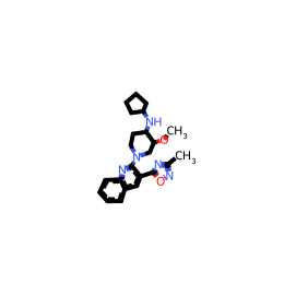 COC1CN(c2nc3ccccc3cc2-c2nc(C)no2)CCC1NC1CCCC1